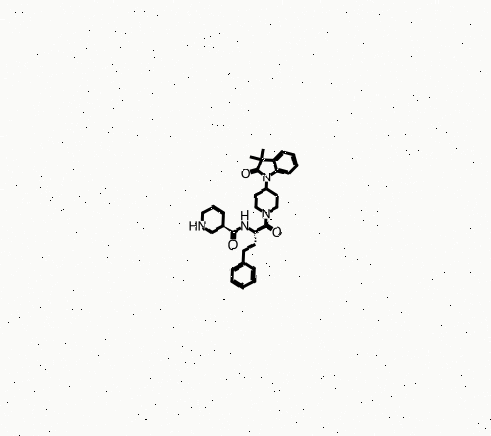 CC1(C)C(=O)N(C2CCN(C(=O)[C@H](CCc3ccccc3)NC(=O)[C@@H]3CCCNC3)CC2)c2ccccc21